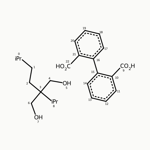 CC(C)CCC(CO)(CO)C(C)C.O=C(O)c1ccccc1-c1ccccc1C(=O)O